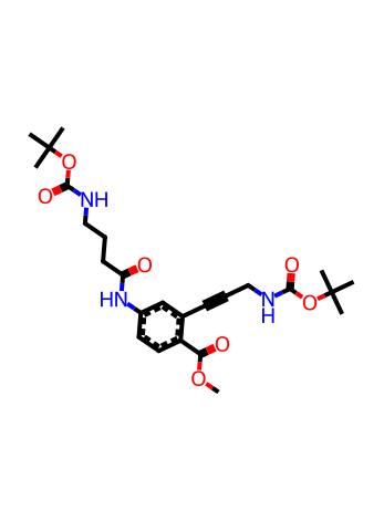 COC(=O)c1ccc(NC(=O)CCCNC(=O)OC(C)(C)C)cc1C#CCNC(=O)OC(C)(C)C